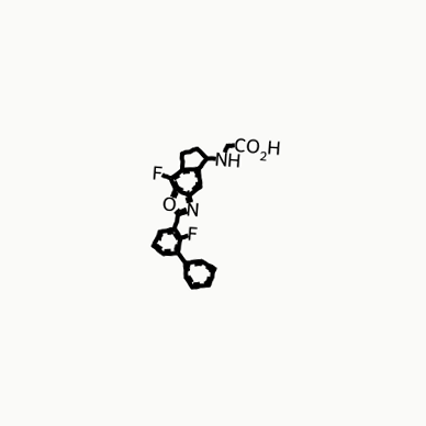 O=C(O)CNC1CCc2c1cc1nc(-c3cccc(-c4ccccc4)c3F)oc1c2F